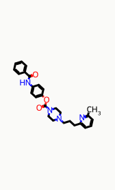 Cc1cccc(CCCN2CCN(C(=O)Oc3ccc(NC(=O)c4ccccc4)cc3)CC2)n1